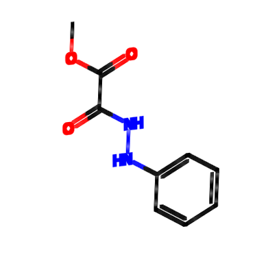 COC(=O)C(=O)NNc1ccccc1